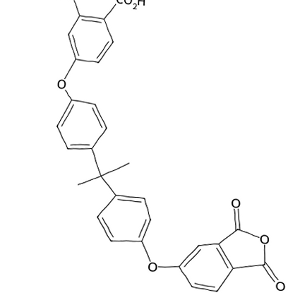 CC(C)(c1ccc(Oc2ccc(C(=O)O)c(C=O)c2)cc1)c1ccc(Oc2ccc3c(c2)C(=O)OC3=O)cc1